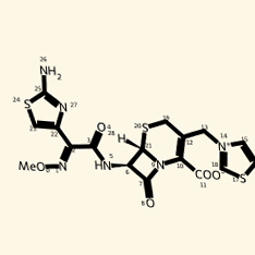 CON=C(C(=O)N[C@@H]1C(=O)N2C(C(=O)[O-])=C(C[n+]3ccsc3)CS[C@@H]12)c1csc(N)n1